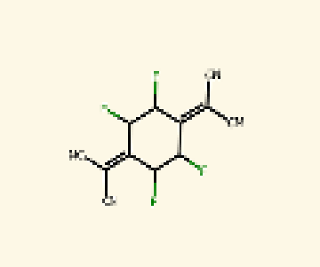 N#CC(C#N)=C1C(F)C(F)C(=C(C#N)C#N)C(F)C1F